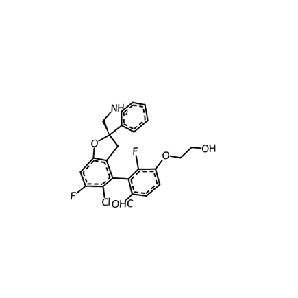 NC[C@@]1(c2ccccc2)Cc2c(cc(F)c(Cl)c2-c2c(C=O)ccc(OCCO)c2F)O1